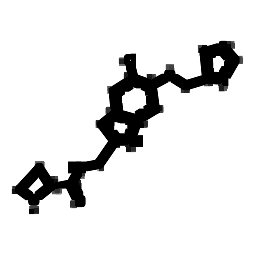 O=C(NCc1cc2cc(Cl)c(OCc3cscn3)cc2[nH]1)[C@@H]1CCO1